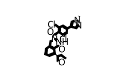 Cn1cc(-c2cc(Cl)c(C(=O)N3Cc4cccc([C@H]5CCOC5)c4C(=O)N3)c(Cl)c2)cn1